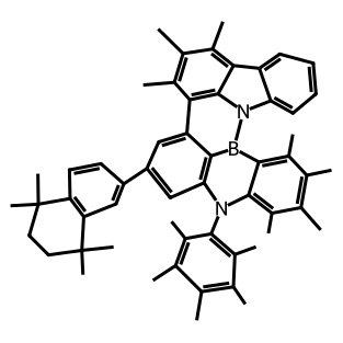 Cc1c(C)c(C)c(N2c3cc(-c4ccc5c(c4)C(C)(C)CCC5(C)C)cc4c3B(c3c(C)c(C)c(C)c(C)c32)n2c3ccccc3c3c(C)c(C)c(C)c-4c32)c(C)c1C